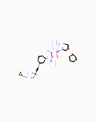 CN1C(=O)[C@H](NC(=O)c2cc(Oc3ccccc3)ccn2)COc2ccc(C#CC3(F)CN(CC4CC4)C3)cc21